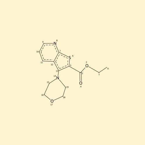 CCOC(=O)c1sc2ncccc2c1N1CCOCC1